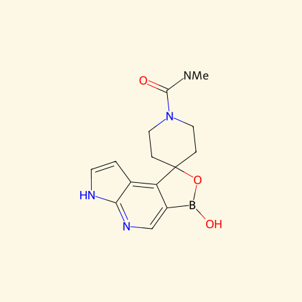 CNC(=O)N1CCC2(CC1)OB(O)c1cnc3[nH]ccc3c12